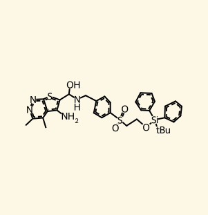 Cc1nnc2sc(C(O)NCc3ccc(S(=O)(=O)CCO[Si](c4ccccc4)(c4ccccc4)C(C)(C)C)cc3)c(N)c2c1C